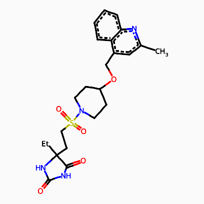 CCC1(CCS(=O)(=O)N2CCC(OCc3cc(C)nc4ccccc34)CC2)NC(=O)NC1=O